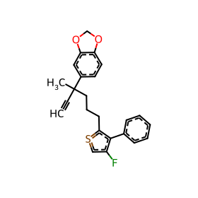 C#CC(C)(CCCc1scc(F)c1-c1ccccc1)c1ccc2c(c1)OCO2